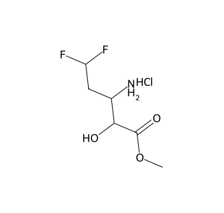 COC(=O)C(O)C(N)CC(F)F.Cl